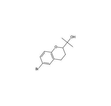 CC(C)(O)C1CCc2cc(Br)ccc2O1